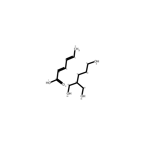 C/C=C/C=C/C(=O)O.OCCCC(CO)CO